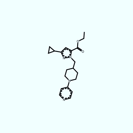 CCOC(=O)c1cc(C2CC2)nn1CC1CCN(c2ccncc2)CC1